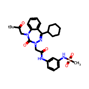 CC(C)(C)C(=O)CN1C(=O)N(CC(=O)Nc2cccc(NS(C)(=O)=O)c2)N=C(C2CCCCC2)c2ccccc21